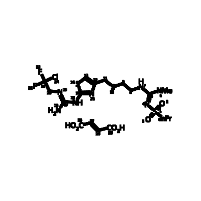 CCCS(=O)(=O)N=C(NC)NCCSCc1csc(NC(N)=NCC(F)(F)Cl)n1.O=C(O)C=CC(=O)O